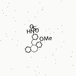 COc1ccc2c(c1)C(Cc1cccc(NS(C)(=O)=O)c1)c1ccccc1CC2